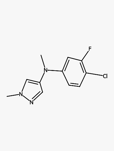 CN(c1ccc(Cl)c(F)c1)c1cnn(C)c1